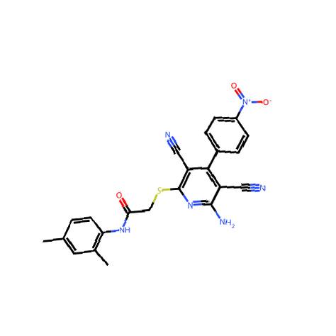 Cc1ccc(NC(=O)CSc2nc(N)c(C#N)c(-c3ccc([N+](=O)[O-])cc3)c2C#N)c(C)c1